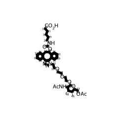 CC(=O)NC1[C@H](OCCOCCOCCn2nnc3c2-c2ccccc2C(OC(=O)NCCCCCC(=O)O)Cc2ccccc2-3)OC(COC(C)=O)[C@H](C)[C@@H]1C